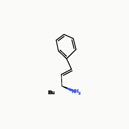 CC[C@H](C)[C@H](N)C=Cc1ccccc1